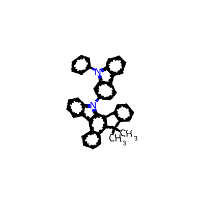 CC1(C)c2ccccc2-c2c1c1ccccc1c1c3ccccc3n(-c3ccc4c5ccccc5n(-c5ccccc5)c4c3)c21